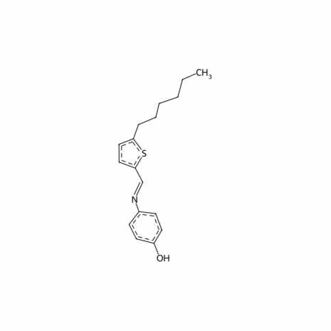 CCCCCCc1ccc(/C=N/c2ccc(O)cc2)s1